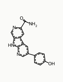 NC(=O)c1cc2c(cn1)[nH]c1ncc(-c3ccc(O)cc3)cc12